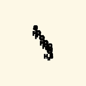 BCC1CCC(OC(=O)c2ccc(-c3ccc(-c4ccc(C5CO5)c(F)c4F)cc3)c(F)c2F)OC1